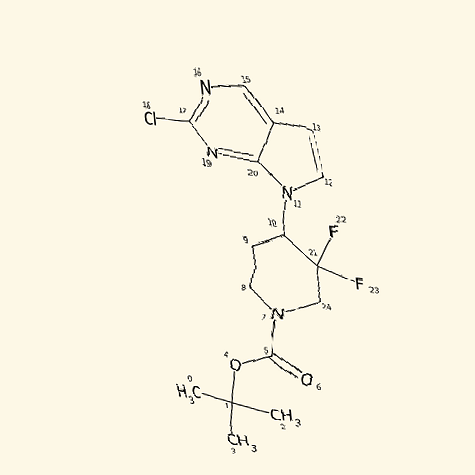 CC(C)(C)OC(=O)N1CCC(n2ccc3cnc(Cl)nc32)C(F)(F)C1